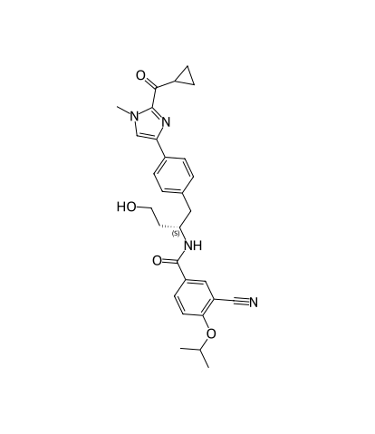 CC(C)Oc1ccc(C(=O)N[C@H](CCO)Cc2ccc(-c3cn(C)c(C(=O)C4CC4)n3)cc2)cc1C#N